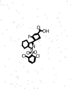 O=C(O)c1ccc(-c2nn(S(=O)(=O)c3c(Cl)cccc3Cl)c3c2CCCC3)c(F)c1